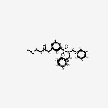 COCCNCc1cccc(S(=O)(=O)N(Cc2ccccc2)Cc2ccccc2)c1